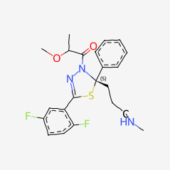 CNCCC[C@@]1(c2ccccc2)SC(c2cc(F)ccc2F)=NN1C(=O)C(C)OC